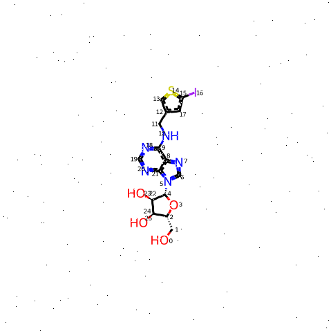 OC[C@H]1O[C@@H](n2cnc3c(NCc4csc(I)c4)ncnc32)[C@H](O)[C@@H]1O